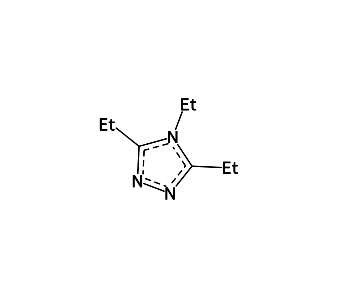 CCc1nnc(CC)n1CC